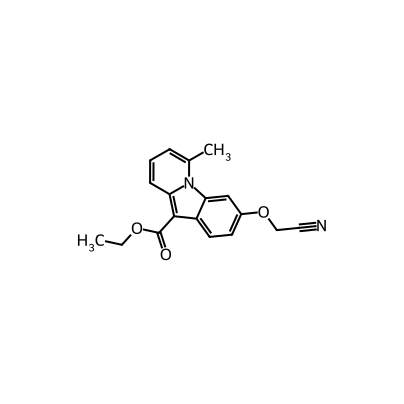 CCOC(=O)c1c2ccc(OCC#N)cc2n2c(C)cccc12